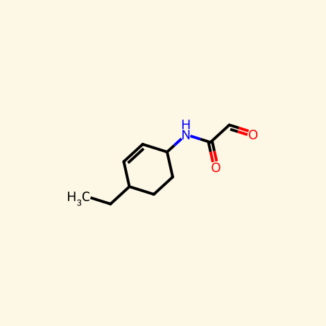 CCC1C=CC(NC(=O)C=O)CC1